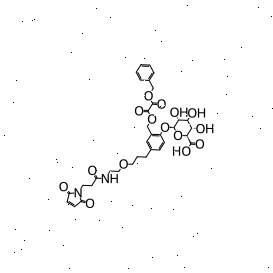 O=C(CCN1C(=O)C=CC1=O)NCCOCCCc1ccc(O[C@@H]2O[C@H](C(=O)O)[C@@H](O)[C@H](O)[C@H]2O)c(COC(=O)C(=O)OCc2ccccc2)c1